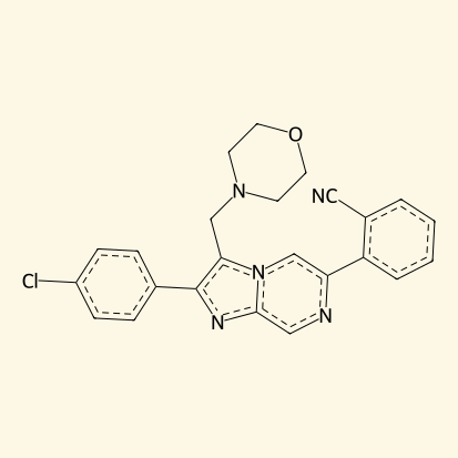 N#Cc1ccccc1-c1cn2c(CN3CCOCC3)c(-c3ccc(Cl)cc3)nc2cn1